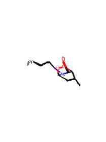 CC(C)CCN1C(=O)C2OOC1CC2C